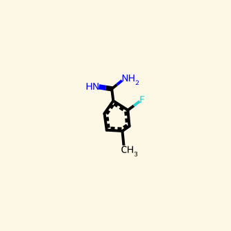 Cc1ccc(C(=N)N)c(F)c1